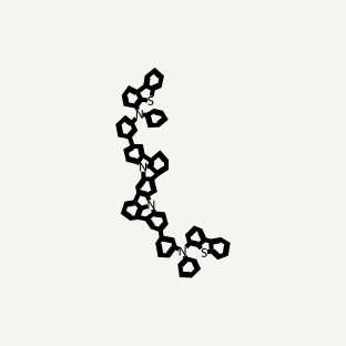 c1ccc(N(c2cccc(-c3ccc4c(c3)c3cccc5c6cc7c(cc6n4c35)c3cccc4c5cc(-c6cccc(N(c8ccccc8)c8cccc9c8sc8ccccc89)c6)ccc5n7c43)c2)c2cccc3c2sc2ccccc23)cc1